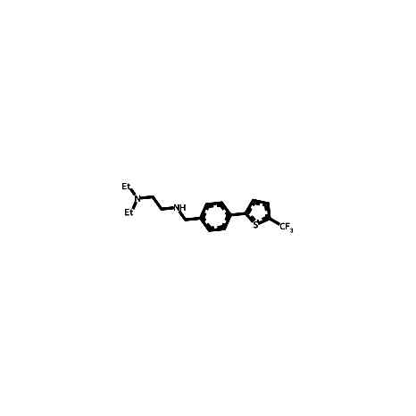 CCN(CC)CCNCc1ccc(-c2ccc(C(F)(F)F)s2)cc1